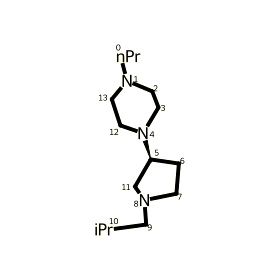 CCCN1CCN([C@H]2CCN(CC(C)C)C2)CC1